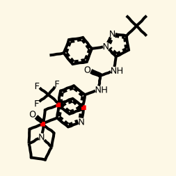 Cc1ccc(-n2nc(C(C)(C)C)cc2NC(=O)Nc2ccc(CC3CC4CCC(C3)N4C(=O)c3cnccc3C(F)(F)F)cc2)cc1